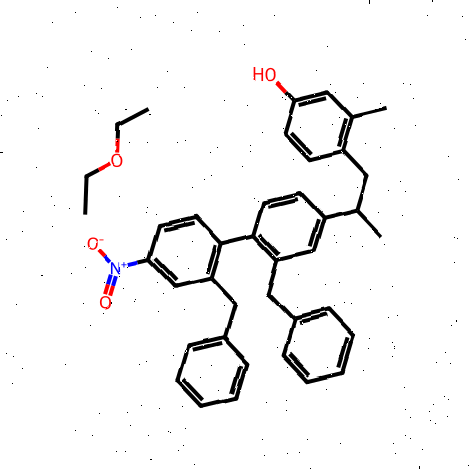 CCOCC.Cc1cc(O)ccc1CC(C)c1ccc(-c2ccc([N+](=O)[O-])cc2Cc2ccccc2)c(Cc2ccccc2)c1